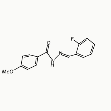 COc1ccc(C(=O)N/N=C/c2ccccc2F)cc1